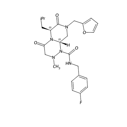 CC(C)C[C@H]1C(=O)N(Cc2ccco2)C[C@H]2N1C(=O)CN(C)N2C(=O)NCc1ccc(F)cc1